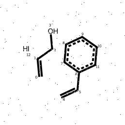 C=CCO.C=Cc1ccccc1.I